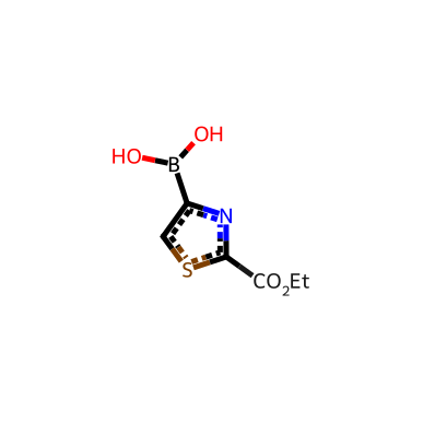 CCOC(=O)c1nc(B(O)O)cs1